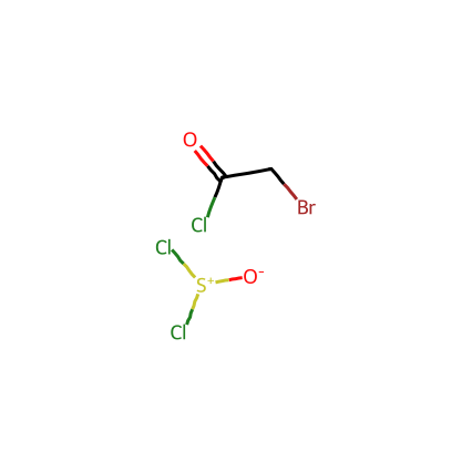 O=C(Cl)CBr.[O-][S+](Cl)Cl